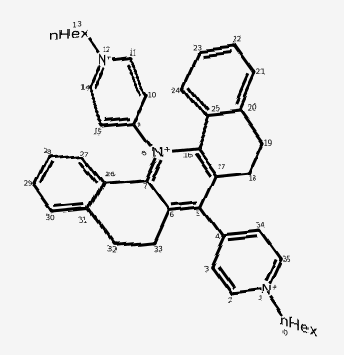 CCCCCC[n+]1ccc(-c2c3c([n+](-c4cc[n+](CCCCCC)cc4)c4c2CCc2ccccc2-4)-c2ccccc2CC3)cc1